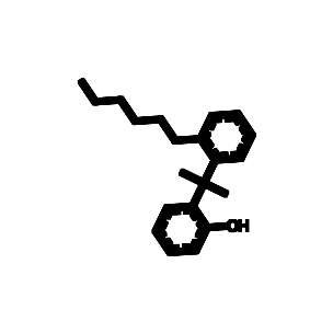 CCCCCCc1ccccc1C(C)(C)c1ccccc1O